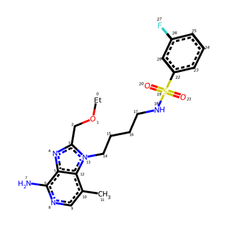 CCOCc1nc2c(N)ncc(C)c2n1CCCCNS(=O)(=O)c1cccc(F)c1